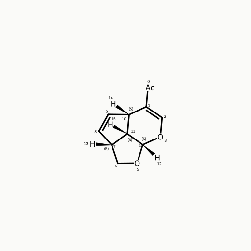 CC(=O)C1=CO[C@@H]2OC[C@@H]3C=C[C@H]1[C@H]23